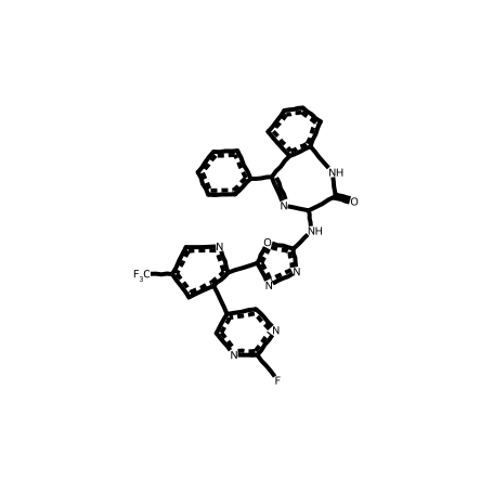 O=C1Nc2ccccc2C(c2ccccc2)=NC1Nc1nnc(-c2ncc(C(F)(F)F)cc2-c2cnc(F)nc2)o1